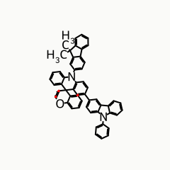 CC1(C)c2ccccc2-c2ccc(N3c4ccccc4C4(c5ccccc5Oc5ccccc54)c4cc(-c5ccc6c(c5)c5ccccc5n6-c5ccccc5)ccc43)cc21